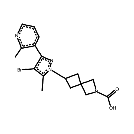 Cc1ncccc1-c1nn(C2CC3(C2)CN(C(=O)O)C3)c(C)c1Br